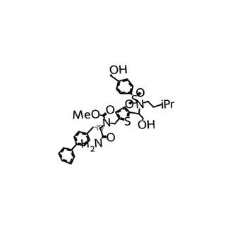 COC(=O)N(Cc1ccc(C(CO)N(CCC(C)C)S(=O)(=O)c2ccc(CO)cc2)s1)[C@@H](Cc1ccc(-c2ccccc2)cc1)C(N)=O